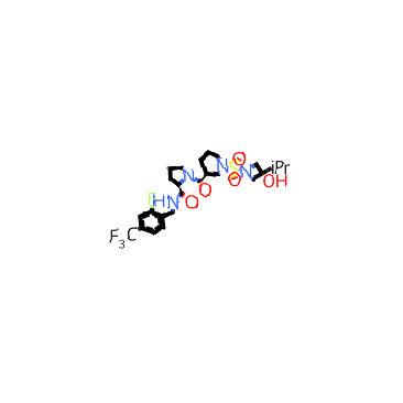 CC(C)C1(O)CN(S(=O)(=O)N2CCC[C@H](C(=O)N3CCC[C@@H]3C(=O)NCc3ccc(C(F)(F)F)cc3F)C2)C1